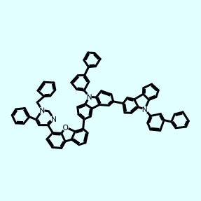 C1=C(c2ccccc2)N(Cc2ccccc2)CN=C1c1cccc2c1oc1c(-c3ccc4c(c3)c3cc(-c5ccc6c(c5)c5ccccc5n6-c5cccc(-c6ccccc6)c5)ccc3n4-c3cccc(-c4ccccc4)c3)cccc12